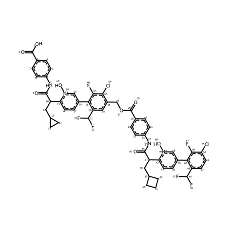 O=C(O)c1ccc(NC(=O)C(CC2CC2)c2ccc(-c3c(C(F)F)cc(COC(=O)c4ccc(NC(=O)C(CC5CCC5)c5ccc(-c6c(C(F)F)ccc(Cl)c6F)c[n+]5O)cc4)c(Cl)c3F)c[n+]2O)cc1